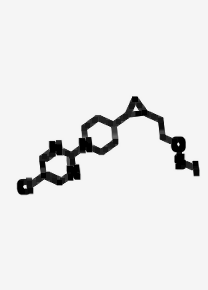 Clc1cnc(N2CCC(C3CC3CCOSI)CC2)nc1